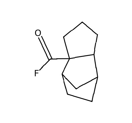 O=C(F)C12CCCC1C1CCC2C1